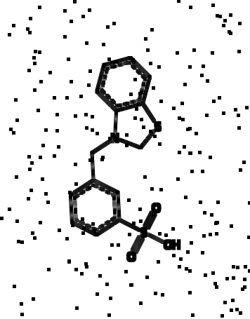 O=S(=O)(O)c1cccc(CN2CSc3ccccc32)c1